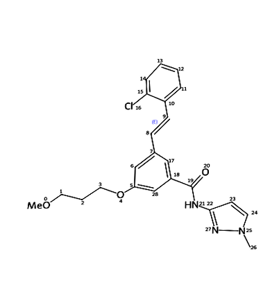 COCCCOc1cc(/C=C/c2ccccc2Cl)cc(C(=O)Nc2ccn(C)n2)c1